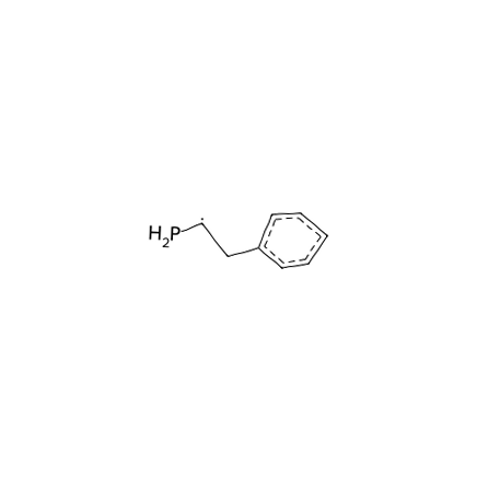 P[CH]Cc1ccccc1